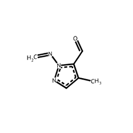 C=Nn1ncc(C)c1C=O